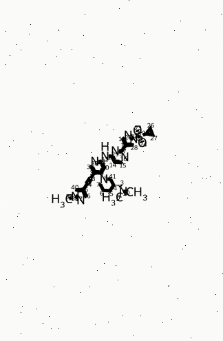 CN(C)C[C@@H]1CCCN(c2cc(Nc3ccnc(-c4cnn(S(=O)(=O)C5CC5)c4)n3)ncc2C#Cc2cnn(C)c2)C1